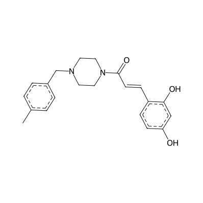 Cc1ccc(CN2CCN(C(=O)/C=C/c3ccc(O)cc3O)CC2)cc1